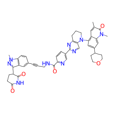 Cc1cc2c(N3CCCc4nc(-c5ccc(C(=O)NCC#Cc6ccc7c(c6)c(C6CCC(=O)NC6=O)nn7C)nc5)ncc43)cc(C3CCOCC3)cc2n(C)c1=O